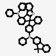 CC1(C)c2ccccc2-c2ccc(N(c3ccccc3)c3ccc4c(c3)-c3ccccc3C43c4cccc(N(c5ccccc5)c5ccccc5)c4-c4c3oc3ccccc43)cc21